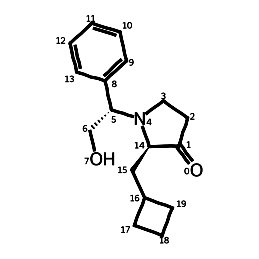 O=C1CCN([C@H](CO)c2ccccc2)[C@@H]1CC1CCC1